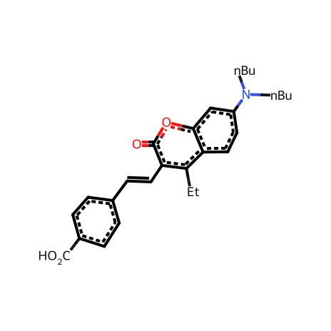 CCCCN(CCCC)c1ccc2c(CC)c(/C=C/c3ccc(C(=O)O)cc3)c(=O)oc2c1